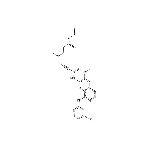 CCOC(=O)CCN(C)CC#CC(=O)Nc1cc2c(Nc3cccc(Br)c3)ncnc2cc1OC